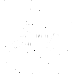 Cn1nc(CNCc2ccccc2OCc2ncccc2C#N)c2ccccc21